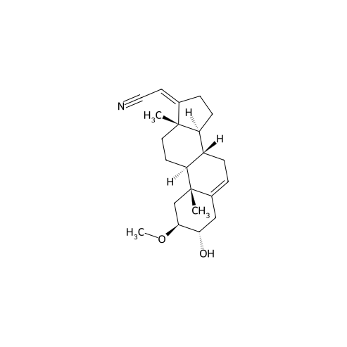 CO[C@H]1C[C@@]2(C)C(=CC[C@@H]3[C@@H]2CC[C@]2(C)/C(=C\C#N)CC[C@@H]32)C[C@@H]1O